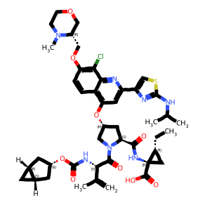 C=C(C)[C@H](NC(=O)O[C@@H]1C[C@@H]2C[C@@H]2C1)C(=O)N1C[C@H](Oc2cc(-c3csc(NC(C)C)n3)nc3c(Cl)c(OC[C@H]4COCCN4C)ccc23)C[C@H]1C(=O)N[C@]1(C(=O)O)C[C@H]1CC